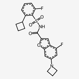 O=C(NS(=O)(=O)c1c(F)cccc1C1CCC1)c1cc2c(F)cc(N3CCC3)cc2o1